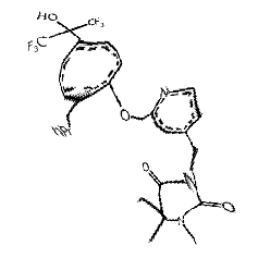 CCCc1cc(C(O)(C(F)(F)F)C(F)(F)F)ccc1Oc1cc(CN2C(=O)N(C)C(C)(C)C2=O)ccn1